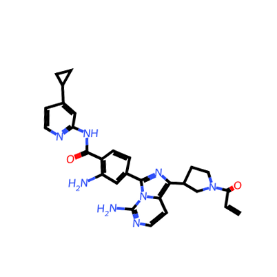 C=CC(=O)N1CCC(c2nc(-c3ccc(C(=O)Nc4cc(C5CC5)ccn4)c(N)c3)n3c(N)nccc23)C1